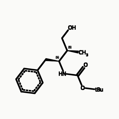 C[C@H](CO)[C@H](Cc1ccccc1)NC(=O)OC(C)(C)C